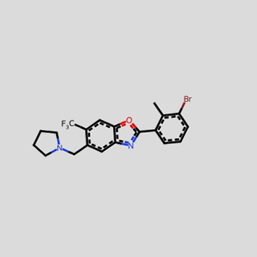 Cc1c(Br)cccc1-c1nc2cc(CN3CCCC3)c(C(F)(F)F)cc2o1